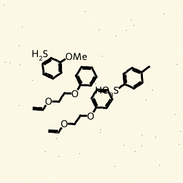 C=COCCOc1ccccc1.C=COCCOc1ccccc1.COc1ccccc1.Cc1ccc(S(=O)(=O)O)cc1.S